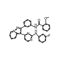 COc1ccccc1C(=O)Nc1cccc(-c2nn3ccccc3c2-c2ccnc(Nc3cccc(F)c3)n2)c1